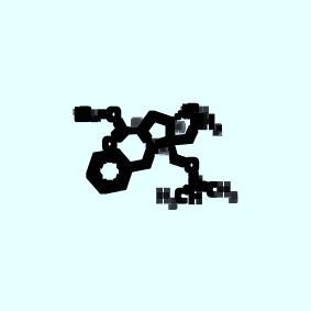 C[SiH](C)OC[C@]1(CN)[C@@H](C(C)(C)C)C[C@H](C(=O)OC(C)(C)C)N1Cc1ccccc1